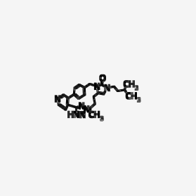 CCCCc1cn(CCC(C)C)c(=O)n1Cc1ccc(-c2cnccc2-c2nnn[nH]2)cc1